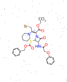 O=C(COc1ccccc1)NC1C(=O)N(/C(C(=O)OCC(Cl)(Cl)Cl)=C(/CBr)N2CCCCC2)C1SC(=O)OCc1ccccc1